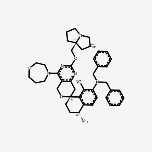 N#Cc1c(N(Cc2ccccc2)Cc2ccccc2)ccc2c1[C@@]1(CC[C@H]2C(F)(F)F)Cc2nc(OC[C@@]34CCCN3C[C@H](F)C4)nc(N3CCCOCC3)c2CO1